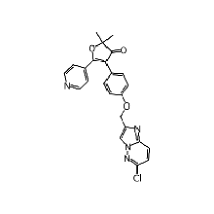 CC1(C)OC(c2ccncc2)=C(c2ccc(OCc3cn4nc(Cl)ccc4n3)cc2)C1=O